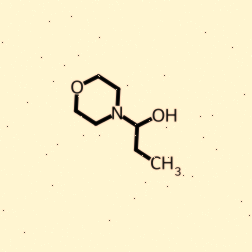 CCC(O)N1CCOCC1